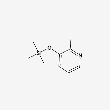 Cc1ncccc1O[Si](C)(C)C